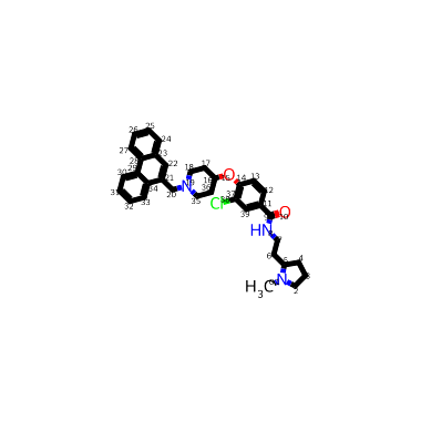 CN1CCCC1CCNC(=O)c1ccc(OC2CCN(Cc3cc4ccccc4c4ccccc34)CC2)c(Cl)c1